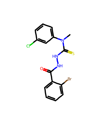 CN(C(=S)NNC(=O)c1ccccc1Br)c1cccc(Cl)c1